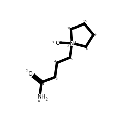 NC(=O)CCC[N+]1([O-])CCCC1